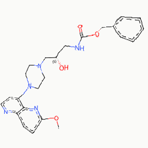 COc1ccc2nccc(N3CCN(C[C@@H](O)CNC(=O)OCc4ccccc4)CC3)c2n1